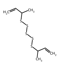 C=CC(C)SSSSSC(C)C=C